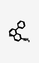 Nc1ccc2nccc(-c3ccccc3)c2c1